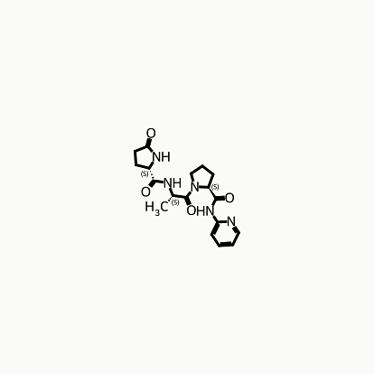 C[C@H](NC(=O)[C@@H]1CCC(=O)N1)C(=O)N1CCC[C@H]1C(=O)Nc1ccccn1